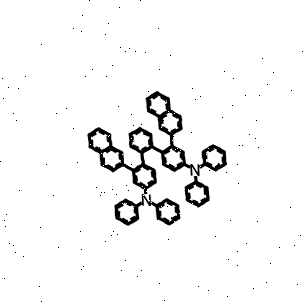 c1ccc(N(c2ccccc2)c2ccc(-c3ccccc3-c3ccc(N(c4ccccc4)c4ccccc4)cc3-c3ccc4ccccc4c3)c(-c3ccc4ccccc4c3)c2)cc1